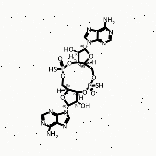 Nc1ncnc2c1ncn2[C@@H]1O[C@@H]2COP(=O)(S)O[C@H]3[C@@H](O)[C@H](n4cnc5c(N)ncnc54)O[C@@H]3COP(=O)(S)O[C@H]2[C@H]1O